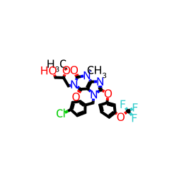 COC(CO)Cn1c(=O)c2c(nc(Oc3cccc(OC(F)(F)F)c3)n2Cc2ccc(Cl)cc2)n(C)c1=O